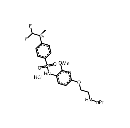 CCCNCCOc1ccc(NS(=O)(=O)c2ccc([C@H](C)C(F)F)cc2)c(OC)n1.Cl